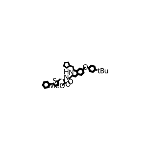 COC(=O)[C@H](Cc1ccc(-c2ccccc2)s1)NC(=O)c1cc2ccc(Oc3ccc(C(C)(C)C)cc3)cc2c(CC2CCCC2)n1